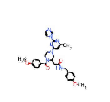 COc1ccc(CNC(=O)CC2CN(c3cc(C)nc(-n4ccnc4)n3)CCN2C(=O)c2ccc(OC)cc2)cc1